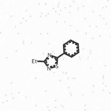 CCc1nsc(-c2ccccc2)n1